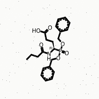 CCCC(=O)N[C@@H](CCC(=O)O)P(=O)(OCc1ccccc1)OCc1ccccc1